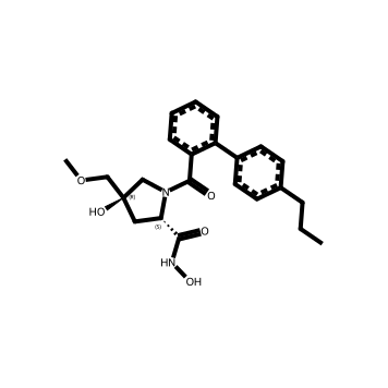 CCCc1ccc(-c2ccccc2C(=O)N2C[C@@](O)(COC)C[C@H]2C(=O)NO)cc1